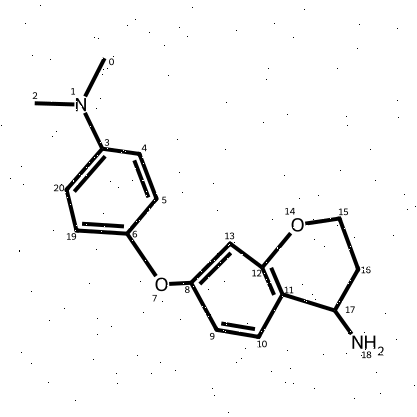 CN(C)c1ccc(Oc2ccc3c(c2)OCCC3N)cc1